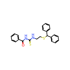 O=C(NC(=S)NCCSC(c1ccccc1)c1ccccc1)c1ccccc1